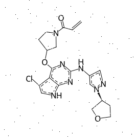 C=CC(=O)N1CCC(Oc2nc(Nc3cnn([C@H]4CCOC4)c3)nc3[nH]cc(Cl)c23)C1